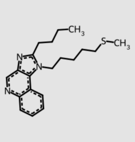 CCCCc1nc2cnc3ccccc3c2n1CCCCCSC